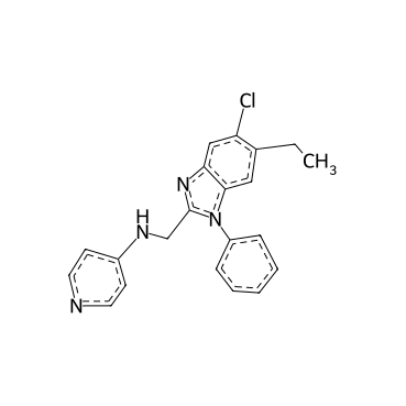 CCc1cc2c(cc1Cl)nc(CNc1ccncc1)n2-c1ccccc1